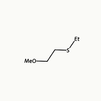 CCSCCOC